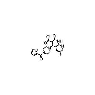 O=C(O)c1c(N2CCN(C(=O)c3ccco3)CC2)c2cc(F)cnc2[nH]c1=O